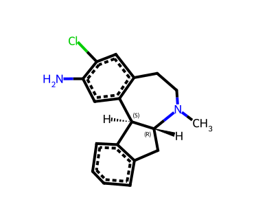 CN1CCc2cc(Cl)c(N)cc2[C@@H]2c3ccccc3C[C@H]21